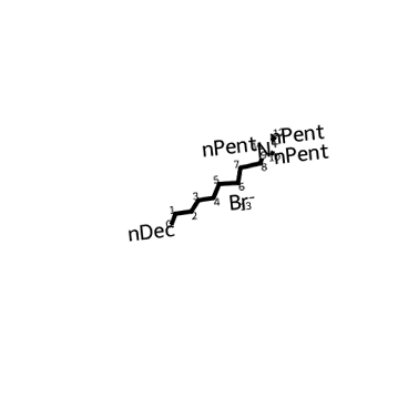 CCCCCCCCCCCCCCCCCC[N+](CCCCC)(CCCCC)CCCCC.[Br-]